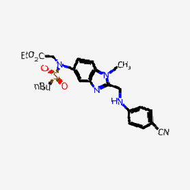 CCCCS(=O)(=O)N(CC(=O)OCC)c1ccc2c(c1)nc(CNc1ccc(C#N)cc1)n2C